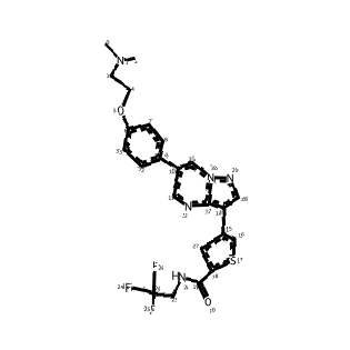 CN(C)CCOc1ccc(-c2cnc3c(-c4csc(C(=O)NCC(F)(F)F)c4)cnn3c2)cc1